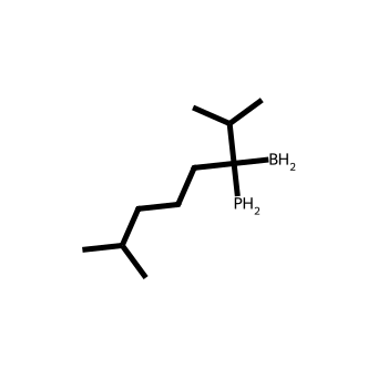 BC(P)(CCCC(C)C)C(C)C